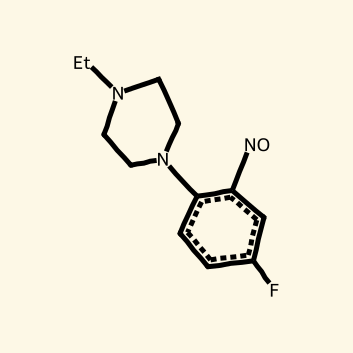 CCN1CCN(c2ccc(F)cc2N=O)CC1